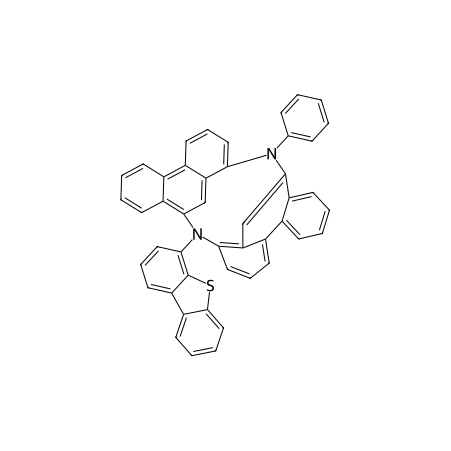 c1ccc(-n2c3cccc4c5ccccc5c(cc43)n(-c3cccc4c3sc3ccccc34)c3cccc4c5ccccc5c2cc43)cc1